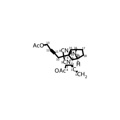 C=C=C(COC(C)=O)[C@@H]1C(C(C#N)(C#N)CC#CCOC(C)=O)=CC2CC[C@@H]1N2